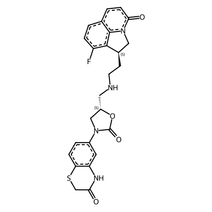 O=C1CSc2ccc(N3C[C@H](CNCC[C@@H]4Cn5c(=O)ccc6ccc(F)c4c65)OC3=O)cc2N1